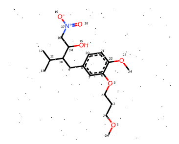 COCCCOc1cc(CC(C(C)C)C(O)C[N+](=O)[O-])ccc1OC